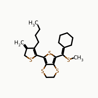 C=C1CSC(c2sc(C(SC)=C3CCCCC3)c3c2SCCS3)=C1CCCC